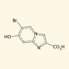 O=C(O)c1cn2cc(Br)c(O)cc2n1